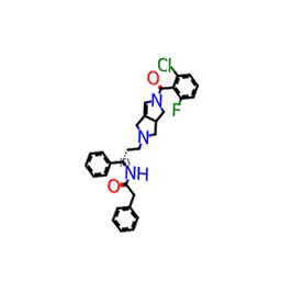 O=C(Cc1ccccc1)N[C@@H](CCN1CC2=CN(C(=O)c3c(F)cccc3Cl)CC2C1)c1ccccc1